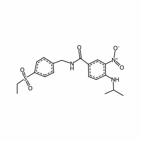 CCS(=O)(=O)c1ccc(CNC(=O)c2ccc(NC(C)C)c([N+](=O)[O-])c2)cc1